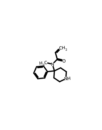 C=CC(=O)N(C)C1(c2ccccc2)CCNCC1